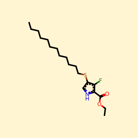 CCCCCCCCCCCCSc1c[nH]c(C(=O)OCC)c1F